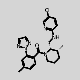 Cc1ccc(C(=O)N2CCC[C@@H](C)[C@H]2CNc2ccc(Cl)cn2)c(-n2nccn2)c1